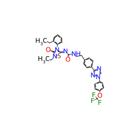 CCc1ccccc1-n1c(=NC(=O)NCCc2ccc(-c3ncn(-c4ccc(OC(F)(F)F)cc4)n3)cc2)sn(CC)c1=O